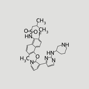 Cc1ccc2c(NS(=O)(=O)CC(C)C)c(F)ccc2c1Oc1ncccc1-c1ccnc(NC2CCCNC2)n1